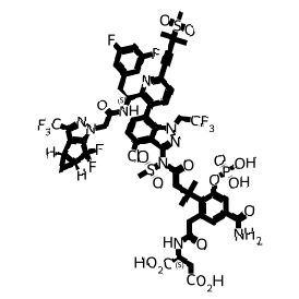 CC(C)(CC(=O)N(c1nn(CC(F)(F)F)c2c(-c3ccc(C#CC(C)(C)S(C)(=O)=O)nc3[C@H](Cc3cc(F)cc(F)c3)NC(=O)Cn3nc(C(F)(F)F)c4c3C(F)(F)[C@@H]3C[C@H]43)ccc(Cl)c12)S(C)(=O)=O)c1c(CC(=O)N[C@@H](CC(=O)O)C(=O)O)cc(C(N)=O)cc1OP(=O)(O)O